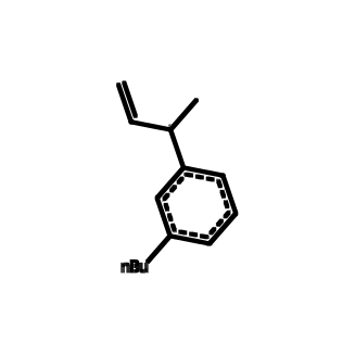 C=C[C](C)c1cccc(CCCC)c1